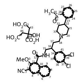 COc1c(C#N)cc2ccccc2c1C(=O)NCC(CCN1CCC(c2ccccc2[S+](C)[O-])CC1)c1ccc(Cl)c(Cl)c1.O=C(O)CC(O)(CC(=O)O)C(=O)O